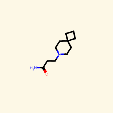 NC(=O)CCN1CCC2(CCC2)CC1